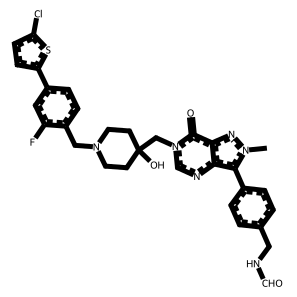 Cn1nc2c(=O)n(CC3(O)CCN(Cc4ccc(-c5ccc(Cl)s5)cc4F)CC3)cnc2c1-c1ccc(CNC=O)cc1